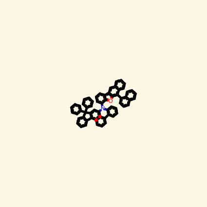 c1ccc(-c2ccccc2N(c2ccc3c(c2)C(c2ccccc2)(c2ccccc2)c2ccccc2-3)c2cccc3c2oc2c(-c4cccc5ccccc45)c4ccccc4cc23)cc1